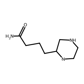 NC(=O)CCCC1CNCC[N]1